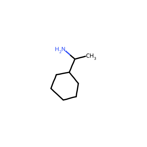 CC(N)C1CCCCC1